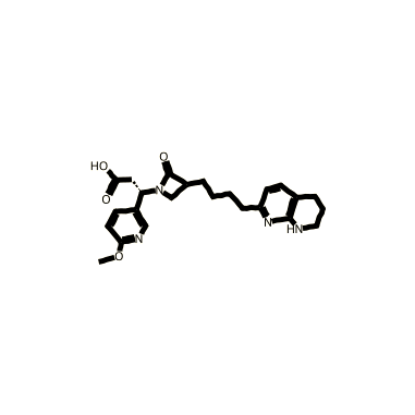 COc1ccc([C@H](CC(=O)O)N2CC(CCCCc3ccc4c(n3)NCCC4)C2=O)cn1